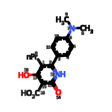 CCCc1c(-c2ccc(N(C)C)cc2)[nH]c(=O)c(C(=O)O)c1O